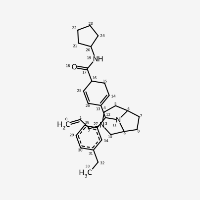 C=CCN1CCC2CCC(C1)N2C(C1=CCC(C(=O)NC2CCCC2)C=C1)c1cccc(CC)c1